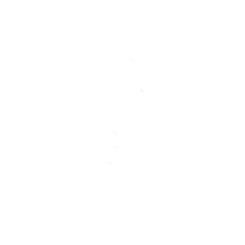 COc1cc(-c2noc3c2CCCc2cc(N4C[C@H](CNC(C)=O)OC4=O)ccc2-3)ccn1